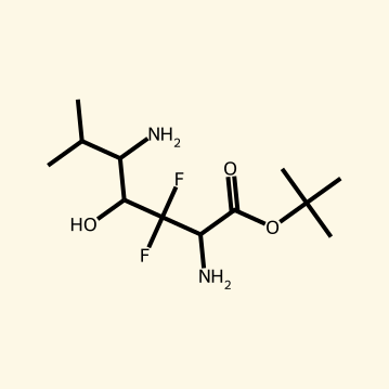 CC(C)C(N)C(O)C(F)(F)C(N)C(=O)OC(C)(C)C